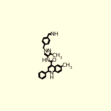 Cc1ccc2c(c1)C(C(=O)Nc1cn(Cc3ccc(C=N)cc3)nc1C)=CC(c1ccccc1)N2